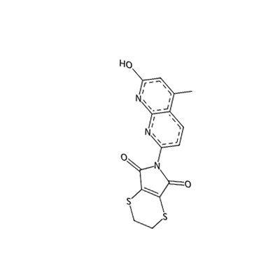 Cc1cc(O)nc2nc(N3C(=O)C4=C(SCCS4)C3=O)ccc12